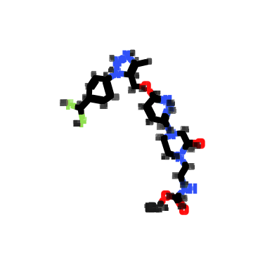 Cc1nnn(-c2ccc(C(F)F)cc2)c1COc1ccc(N2CCN(CCNC(=O)OC(C)(C)C)C(=O)C2)nn1